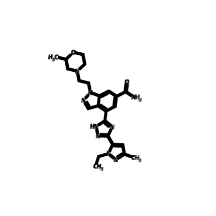 CCn1nc(C)cc1-c1n[nH]c(-c2cc(C(N)=O)cc3c2cnn3CCN2CCOC(C)C2)n1